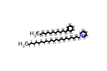 CCCCCCCCCCCCCCCCCCCCCC[n+]1ccccc1.CCCCCCCCCCCCc1ccccc1